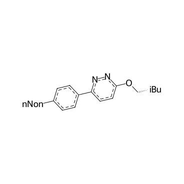 CCCCCCCCCc1ccc(-c2ccc(OC[C@@H](C)CC)nn2)cc1